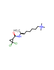 C[N+](C)(C)CCCCC/C=C(/NC(=O)C1CC1(Cl)Cl)C(=O)O